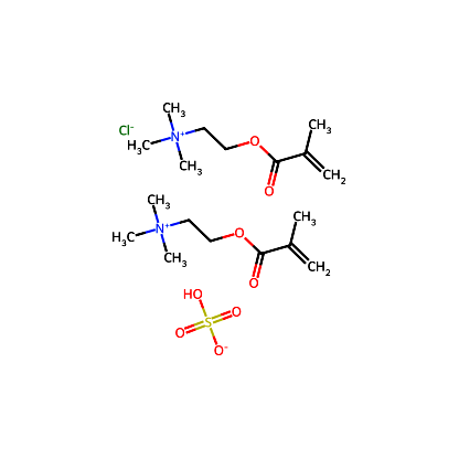 C=C(C)C(=O)OCC[N+](C)(C)C.C=C(C)C(=O)OCC[N+](C)(C)C.O=S(=O)([O-])O.[Cl-]